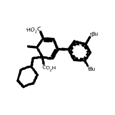 CC1C(C(=O)O)=CC(c2cc(C(C)(C)C)cc(C(C)(C)C)c2)=CC1(CC1CCCCC1)C(=O)O